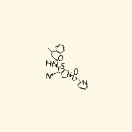 CC(CC(=O)Nc1sc2c(c1C#N)CCN(C(=O)OCc1ccccn1)C2)c1ccccc1